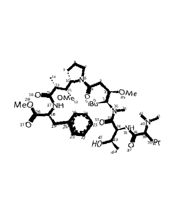 CC[C@H](C)[C@@H]([C@@H](CC(=O)N1CCC[C@H]1[C@H](OC)[C@@H](C)C(=O)N[C@@H](Cc1ccccc1)C(=O)OC)OC)N(C)C(=O)[C@@H](NC(=O)C(C(C)C)N(C)C)[C@@H](C)O